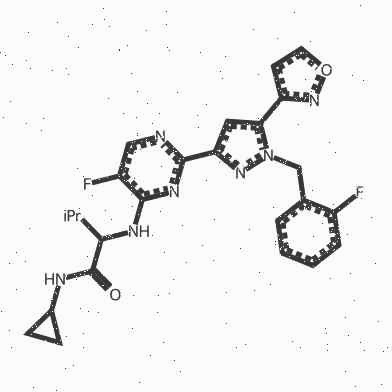 CC(C)C(Nc1nc(-c2cc(-c3ccon3)n(Cc3ccccc3F)n2)ncc1F)C(=O)NC1CC1